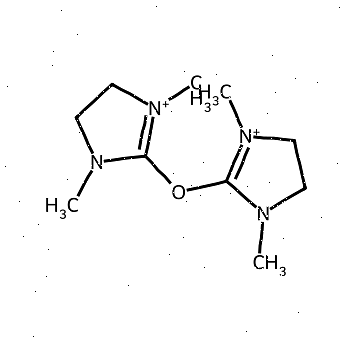 CN1CC[N+](C)=C1OC1=[N+](C)CCN1C